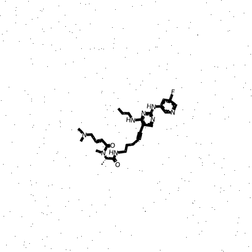 CCCNc1nc(Nc2cncc(F)c2)ncc1C#CCCCNC(=O)[C@H](C)N(C)C(=O)/C=C/CN(C)C